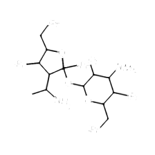 CNC1C(C(C)C)C(CC(C)C)OC(OC2(C(C)C)OC(CC(C)C)C(C(C)C)C2C(C)N)C1C(C)C